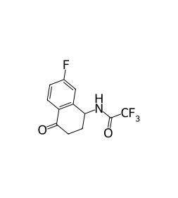 O=C1CCC(NC(=O)C(F)(F)F)c2cc(F)ccc21